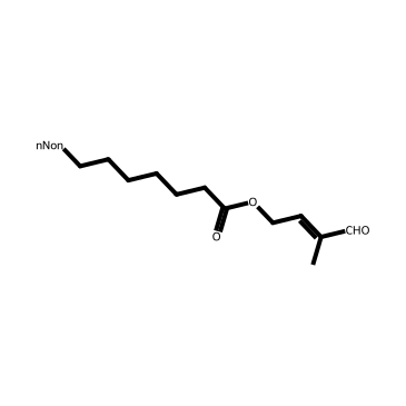 CCCCCCCCCCCCCCCC(=O)OC/C=C(\C)C=O